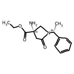 CCOC(=O)[C@]1(N)CC(=O)N([C@H](C)c2ccccc2)C1